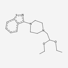 CCOC(CN1CCN(c2nsc3ccccc23)CC1)OCC